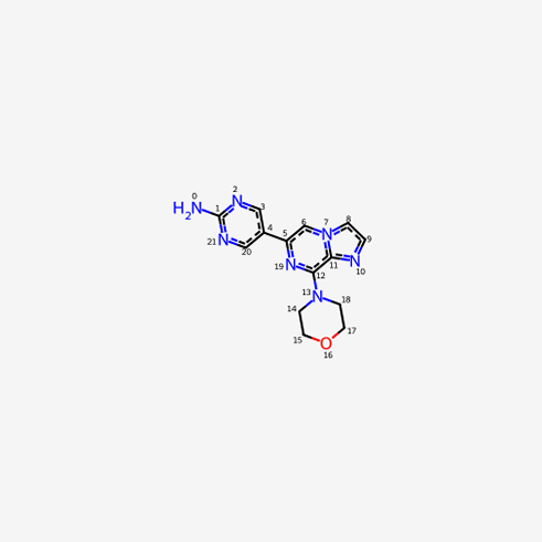 Nc1ncc(-c2cn3ccnc3c(N3CCOCC3)n2)cn1